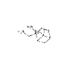 CC1(C)C2CCC(N)(CN)C1C2